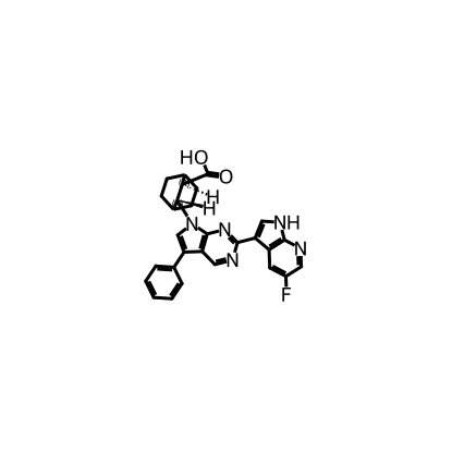 O=C(O)[C@@H]1C2CCC(CC2)[C@H]1n1cc(-c2ccccc2)c2cnc(-c3c[nH]c4ncc(F)cc34)nc21